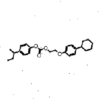 CCC(C)c1ccc(OC(=O)OCCOc2ccc(C3CCCCC3)cc2)cc1